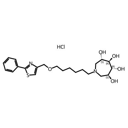 Cl.O[C@H]1[C@H](O)[C@@H](O)CN(CCCCCCOCc2csc(-c3ccccc3)n2)C[C@@H]1O